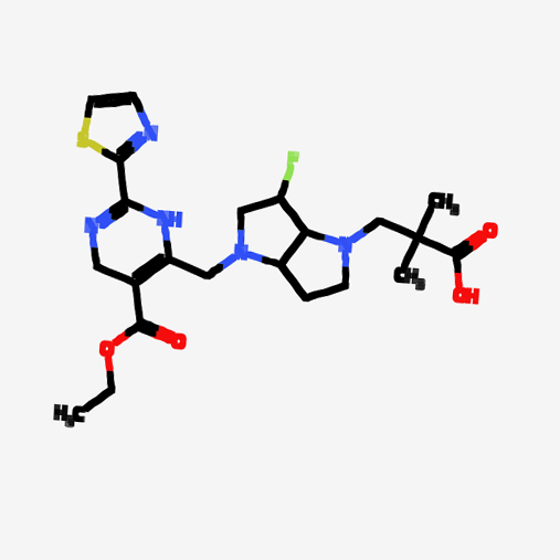 CCOC(=O)C1=C(CN2CC(F)C3C2CCN3CC(C)(C)C(=O)O)NC(c2nccs2)=NC1